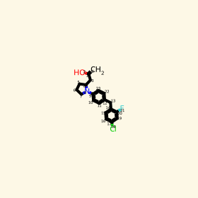 C=C(O)CC1CCCN1c1ccc(Cc2ccc(Cl)cc2F)cc1